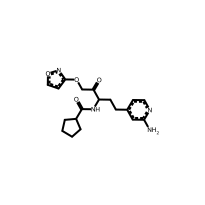 Nc1cc(CCC(NC(=O)C2CCCC2)C(=O)COc2ccon2)ccn1